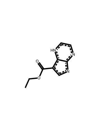 CCOC(=O)c1cnc2ncc[nH]c1-2